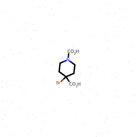 O=C(O)N1CCC(Br)(C(=O)O)CC1